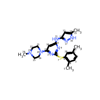 Cc1ccc(C)c(Sc2nc(Nc3cc(C)[nH]n3)cc(N3CCN(C)CC3)n2)c1